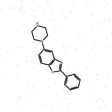 c1ccc(-c2nc3cc(N4CCNCC4)ccc3o2)cc1